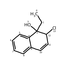 CCC1(O)c2ccccc2C=CC1Cl